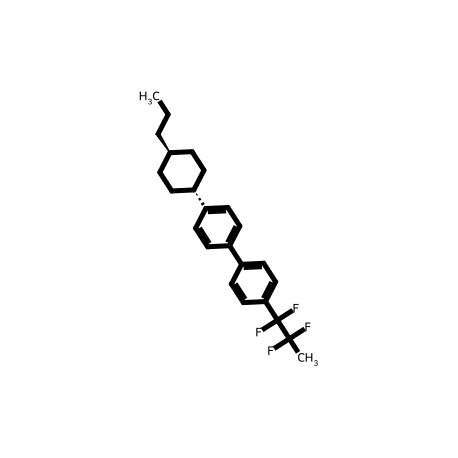 CCC[C@H]1CC[C@H](c2ccc(-c3ccc(C(F)(F)C(C)(F)F)cc3)cc2)CC1